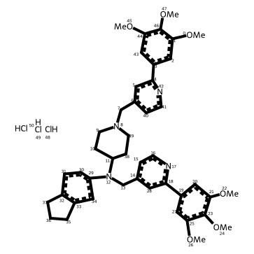 COc1cc(-c2cc(CN3CCC(N(Cc4ccnc(-c5cc(OC)c(OC)c(OC)c5)c4)c4ccc5c(c4)CCC5)CC3)ccn2)cc(OC)c1OC.Cl.Cl.Cl